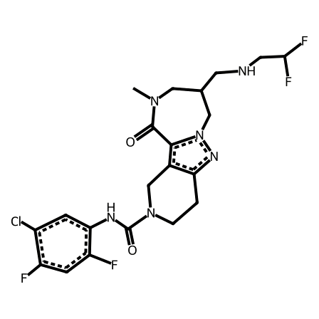 CN1CC(CNCC(F)F)Cn2nc3c(c2C1=O)CN(C(=O)Nc1cc(Cl)c(F)cc1F)CC3